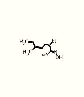 C=CC(C)=CCC(CC)C(CCC)=NO